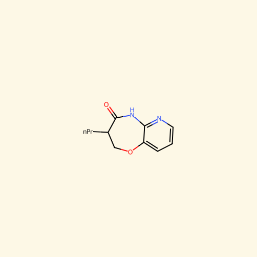 CCCC1COc2cccnc2NC1=O